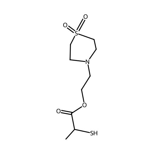 CC(S)C(=O)OCCN1CCS(=O)(=O)CC1